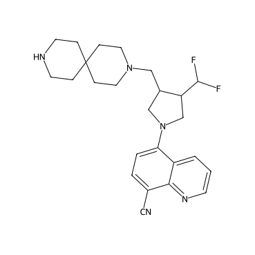 N#Cc1ccc(N2CC(CN3CCC4(CCNCC4)CC3)C(C(F)F)C2)c2cccnc12